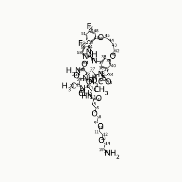 C[C@H](NC(=O)CCOCCOCCOCCN)C(=O)N(C)[C@@H](C)C(=O)N[C@@H](CC(=O)N=[S@@](C)(=O)Cc1cc2cc(c1)OCCCCOc1cc(F)ccc1-c1nc(ncc1F)N2)C(N)=O